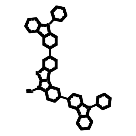 CC(C)(C)n1c2ccc(-c3ccc4c(c3)c3ccccc3n4-c3ccccc3)cc2n2c3ccc(-c4ccc5c(c4)c4ccccc4n5-c4ccccc4)cc3nc12